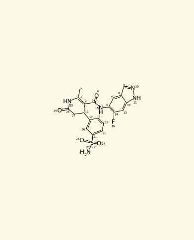 CC1=C(C(=O)Nc2cc3cn[nH]c3cc2F)C(c2cccc(S(N)(=O)=O)c2)CC(=O)N1